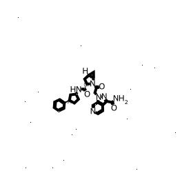 NC(=O)c1nn(CC(=O)N2C3C[C@@H]3C[C@H]2C(=O)NC2CC[C@@H](c3ccccc3)C2)c2cnccc12